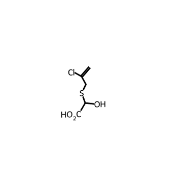 C=C(Cl)CSC(O)C(=O)O